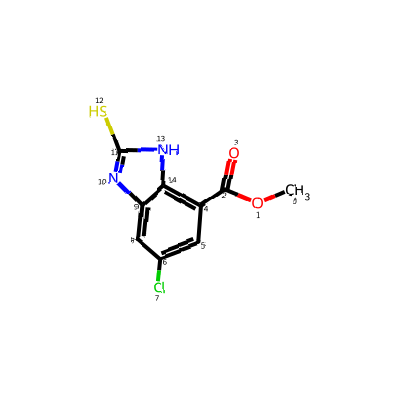 COC(=O)c1cc(Cl)cc2nc(S)[nH]c12